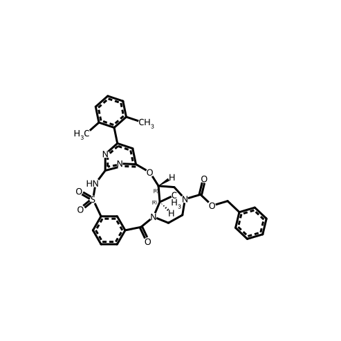 Cc1cccc(C)c1-c1cc2nc(n1)NS(=O)(=O)c1cccc(c1)C(=O)N1CCN(C(=O)OCc3ccccc3)C[C@@H](O2)[C@H]1C